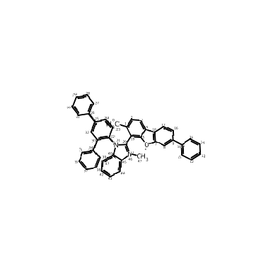 Cc1ccc2c(oc3cc(-c4ccccc4)ccc32)c1-c1n(-c2ccc(-c3ccccc3)cc2-c2ccccc2)c2ccccc2[n+]1C